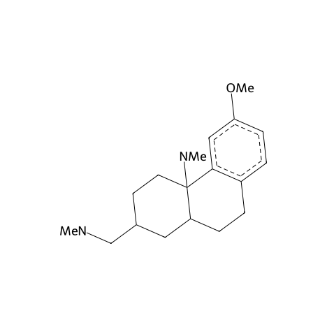 CNCC1CCC2(NC)c3cc(OC)ccc3CCC2C1